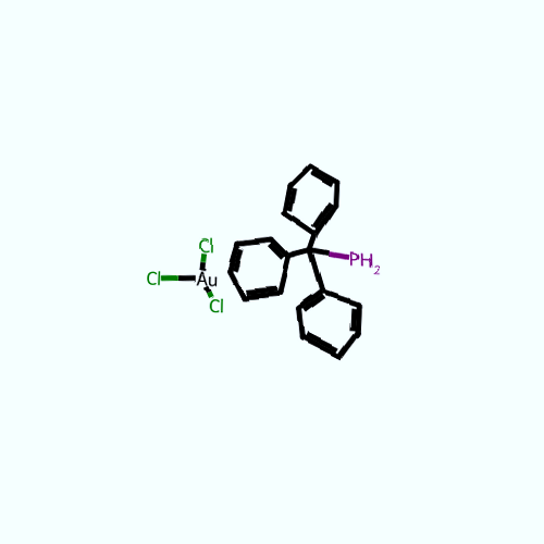 PC(c1ccccc1)(c1ccccc1)c1ccccc1.[Cl][Au]([Cl])[Cl]